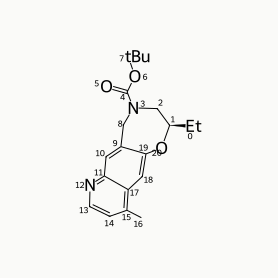 CC[C@@H]1CN(C(=O)OC(C)(C)C)Cc2cc3nccc(C)c3cc2O1